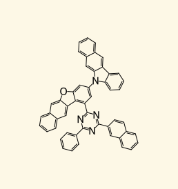 c1ccc(-c2nc(-c3ccc4ccccc4c3)nc(-c3cc(-n4c5ccccc5c5cc6ccccc6cc54)cc4oc5cc6ccccc6cc5c34)n2)cc1